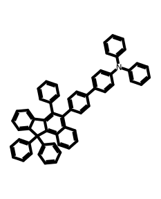 c1ccc(-c2c3c(c4ccccc4c2-c2ccc(-c4ccc(N(c5ccccc5)c5ccccc5)cc4)cc2)C(c2ccccc2)(c2ccccc2)c2ccccc2-3)cc1